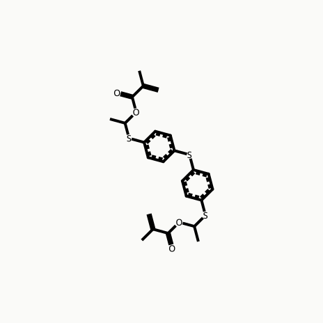 C=C(C)C(=O)OC(C)Sc1ccc(Sc2ccc(SC(C)OC(=O)C(=C)C)cc2)cc1